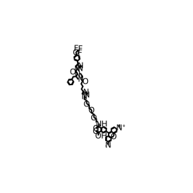 CN(C)c1ccc2c(-c3ccc(C(=O)NCCOCCOCCOCCn4cc(CCCC(=O)N5CCN(C(=O)n6cc(-c7ccc(OC(F)(F)F)cc7)nn6)C(Cc6ccccc6)C5)nn4)c(C(=O)O)c3)c3ccc(=[N+](C)C)cc-3oc2c1